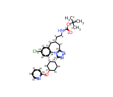 CC(C)(C)OC(=O)NCC[C@@H]1Cc2cc(Cl)ccc2-n2c(nnc2[C@H]2CC[C@H](Oc3ccccn3)CC2)C1